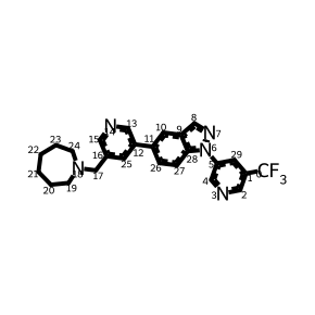 FC(F)(F)c1cncc(-n2ncc3cc(-c4cncc(CN5CCCCCC5)c4)ccc32)c1